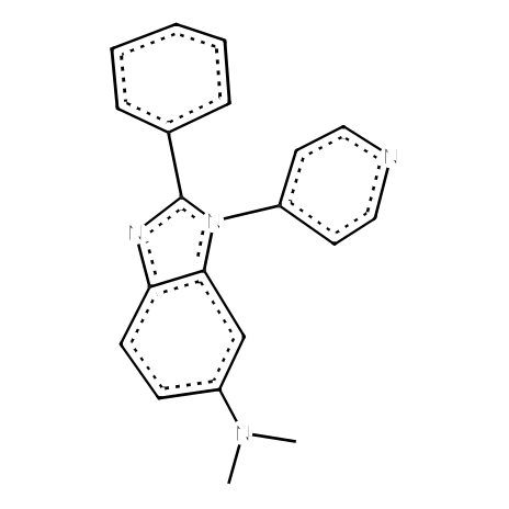 CN(C)c1ccc2nc(-c3ccccc3)n(-c3ccncc3)c2c1